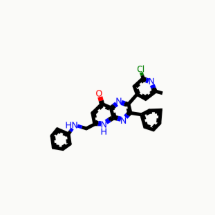 Cc1cc(-c2nc3c(=O)cc(CNc4ccccc4)[nH]c3nc2-c2ccccc2)cc(Cl)n1